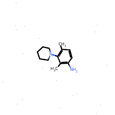 Cc1ccc(N)c(C)c1N1CCCCC1